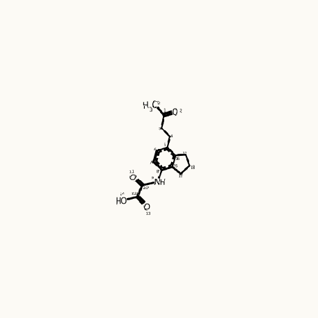 CC(=O)CCc1ccc(NC(=O)C(=O)O)c2c1CCC2